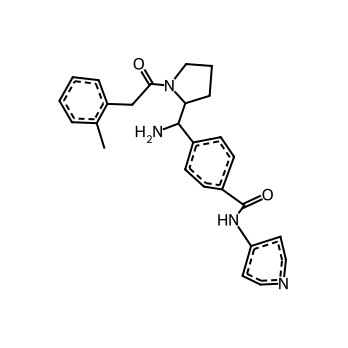 Cc1ccccc1CC(=O)N1CCCC1C(N)c1ccc(C(=O)Nc2ccncc2)cc1